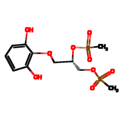 CS(=O)(=O)OC[C@H](COc1c(O)cccc1O)OS(C)(=O)=O